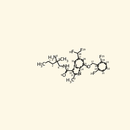 CCCC(C)(N)CNC(=O)c1c(C)nc2c(OCc3c(F)cccc3F)cc(C(F)F)cn12